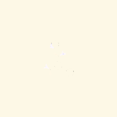 Cc1ccc(-c2cc(C(=O)NC(c3ccc(C)nc3)C(F)(F)F)cc(C(=O)N3CCCC3)c2)cc1